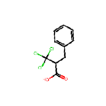 O=C(O)C(Cc1ccccc1)C(Cl)(Cl)Cl